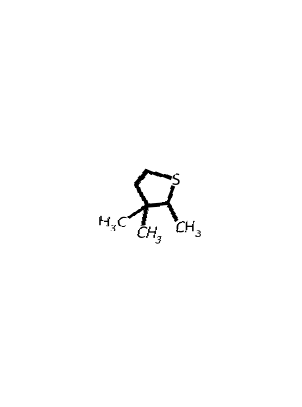 C[C]1SCCC1(C)C